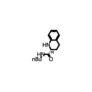 CCCCNC(=O)[C@H]1CCc2ccccc2N1